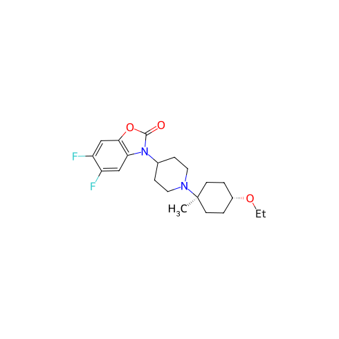 CCO[C@H]1CC[C@](C)(N2CCC(n3c(=O)oc4cc(F)c(F)cc43)CC2)CC1